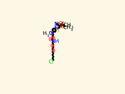 CN(CCOC(=O)NCCOCCOCCCCCCCl)c1ccc2nc(/C=C(\C#N)C(=O)OC(C)(C)C)sc2c1